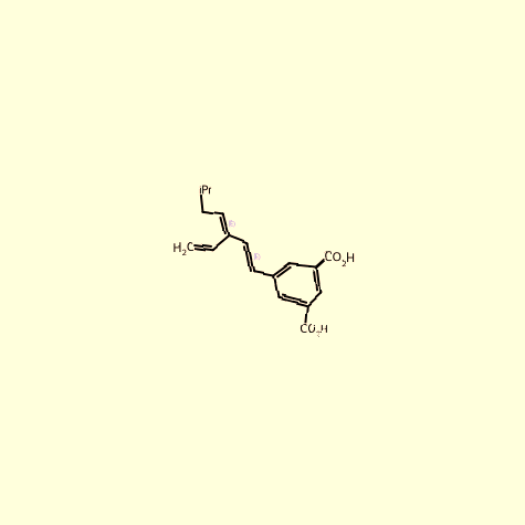 C=CC(/C=C/c1cc(C(=O)O)cc(C(=O)O)c1)=C\CC(C)C